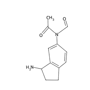 CC(=O)N(C=O)c1ccc2c(c1)C(N)CC2